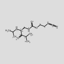 CC(C)N[C@@H](CNC(=O)OCCN=[N+]=[N-])C(=O)C(C)C